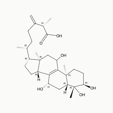 C=C(CC[C@@H](C)[C@H]1CC[C@H]2C3=C(C(O)C[C@]12C)[C@@]1(C)CC[C@@H](O)[C@](C)(O)[C@@H]1C[C@@H]3O)[C@H](C)C(=O)O